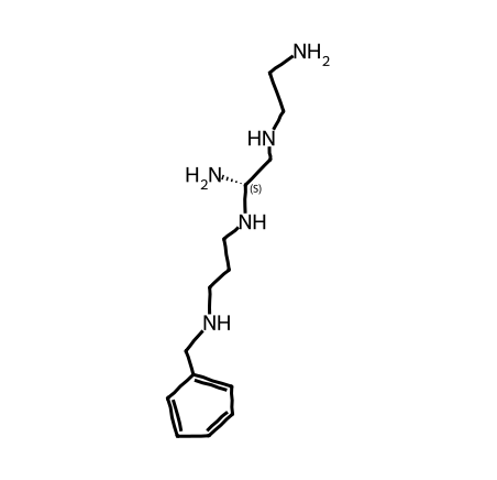 NCCNC[C@@H](N)NCCCNCc1ccccc1